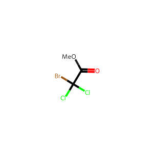 COC(=O)C(Cl)(Cl)Br